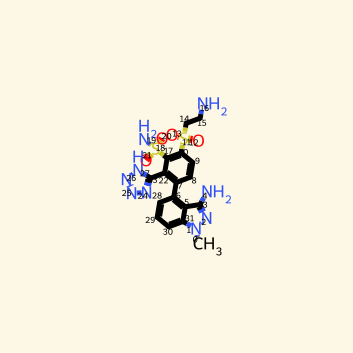 Cn1nc(N)c2c(-c3ccc(S(=O)(=O)CCN)c(S(N)(=O)=O)c3-c3nnn[nH]3)cccc21